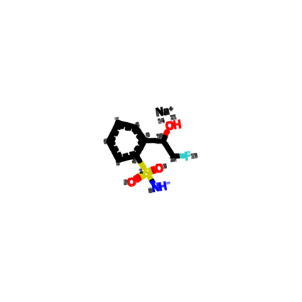 [NH-]S(=O)(=O)c1ccccc1C(O)CF.[Na+]